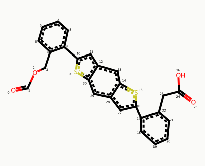 O=COCc1ccccc1-c1cc2cc3sc(-c4ccccc4CC(=O)O)cc3cc2s1